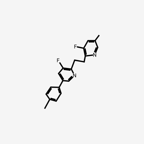 Cc1ccc(-c2cnc(CCc3ncc(C)cc3F)c(F)c2)cc1